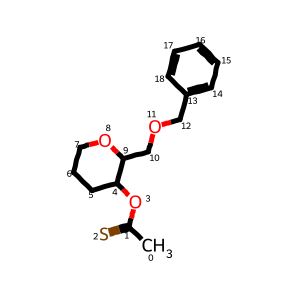 CC(=S)OC1CCCOC1COCc1ccccc1